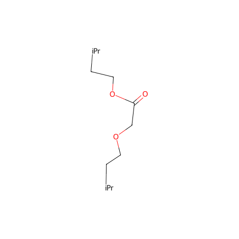 CC(C)CCOCC(=O)OCCC(C)C